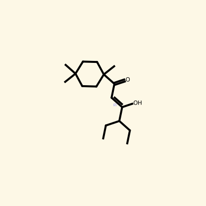 CCC(CC)/C(O)=C/C(=O)C1(C)CCC(C)(C)CC1